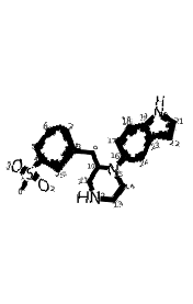 CS(=O)(=O)c1cccc(CC2CNCCN2c2ccc3[nH]ccc3c2)c1